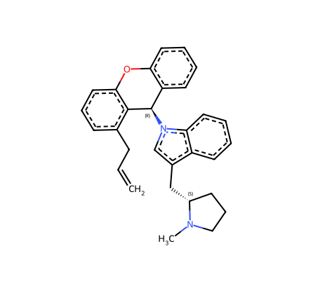 C=CCc1cccc2c1[C@H](n1cc(C[C@@H]3CCCN3C)c3ccccc31)c1ccccc1O2